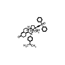 CN(C)c1ccc([C@H]2C[C@@]3(C)[C@@H](CC[C@@]3(O)C#CP(=O)(c3ccccc3)c3ccccc3)[C@@H]3CCC4=CC(=O)CCC4=C32)cc1